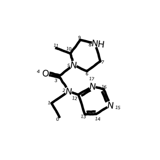 CCN(C(=O)N1CCNCC1C)c1ccncn1